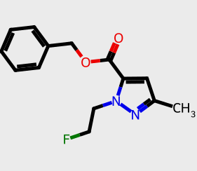 Cc1cc(C(=O)OCc2ccccc2)n(CCF)n1